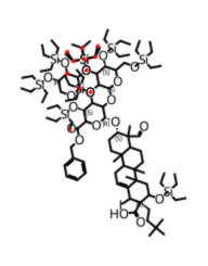 CC[Si](CC)(CC)OCC1O[C@@H](OC2C(O[C@@H]3OC[C@@H](O[Si](CC)(CC)CC)C(O[Si](CC)(CC)CC)C3O[Si](CC)(CC)CC)[C@H](O[Si](CC)(CC)CC)C(C(=O)OCc3ccccc3)O[C@H]2O[C@H]2CCC3(C)C(CCC4(C)C3CC=C3C(I)[C@@](CCC(C)(C)C)(C(=O)O)C(O[Si](CC)(CC)CC)CC34C)C2(C)C=O)C(O[Si](CC)(CC)CC)C(O[Si](CC)(CC)CC)[C@H]1O[Si](CC)(CC)CC